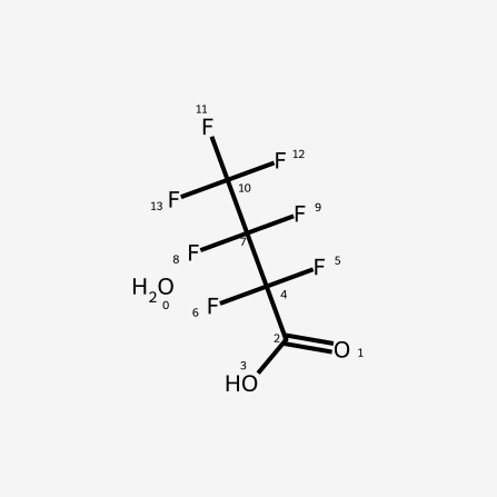 O.O=C(O)C(F)(F)C(F)(F)C(F)(F)F